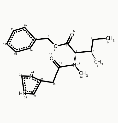 CC[C@H](C)[C@@H](C(=O)OCc1ccccc1)N(C)C(=O)Cc1c[nH]cn1